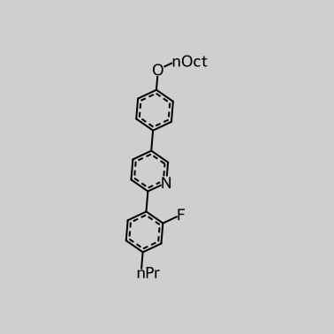 CCCCCCCCOc1ccc(-c2ccc(-c3ccc(CCC)cc3F)nc2)cc1